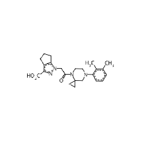 Cc1cccc(N2CCN(C(=O)Cn3nc(C(=O)O)c4c3CCC4)C3(CC3)C2)c1C